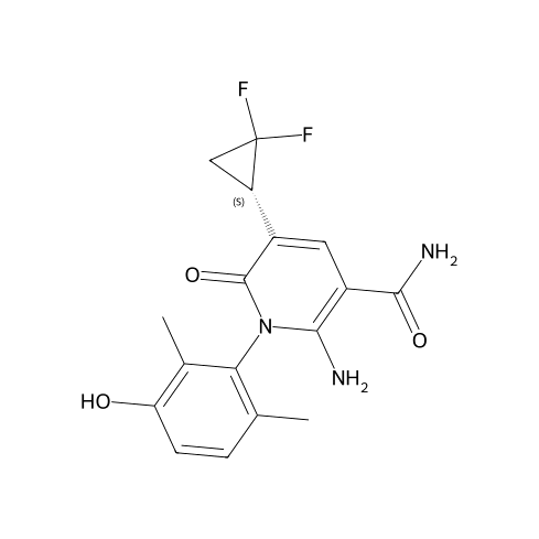 Cc1ccc(O)c(C)c1-n1c(N)c(C(N)=O)cc([C@@H]2CC2(F)F)c1=O